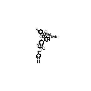 COc1ncc(-c2ccc3ncc(OCC4CCNCC4)c(=O)n3c2)cc1NS(=O)(=O)c1ccc(F)cc1Cl